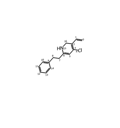 C=CC1=C(Cl)C=C(CCc2ccccc2)NC1